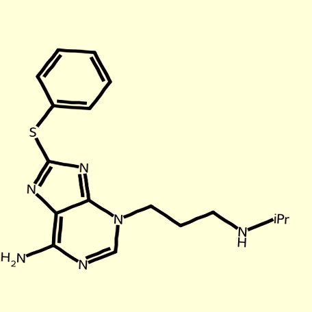 CC(C)NCCCn1cnc(N)c2nc(Sc3ccccc3)nc1-2